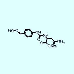 COC(=O)C(CC(N)=O)NC(=O)Nc1ccc(C=NO)cc1